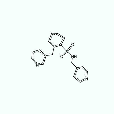 O=S(=O)(NCc1ccncc1)c1cc[c]cc1Cc1cccnc1